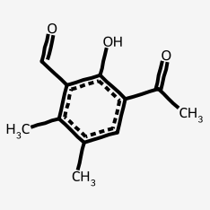 CC(=O)c1cc(C)c(C)c(C=O)c1O